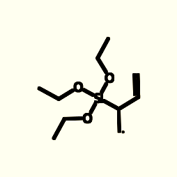 [CH2]C(C=C)[Si](OCC)(OCC)OCC